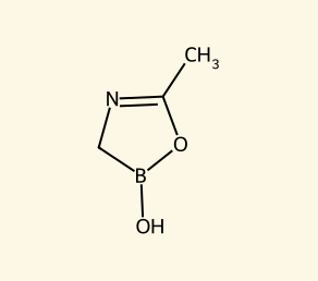 CC1=NCB(O)O1